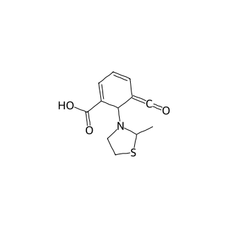 CC1SCCN1C1C(=C=O)C=CC=C1C(=O)O